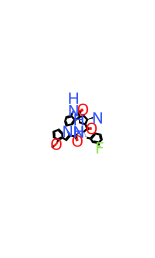 COc1cccc2[nH]c(C(=O)N[C@@H](Cc3cccc(F)c3)C(=O)C3C[C@]4(C[C@H]3C#N)C(=O)Nc3ccccc34)cc12